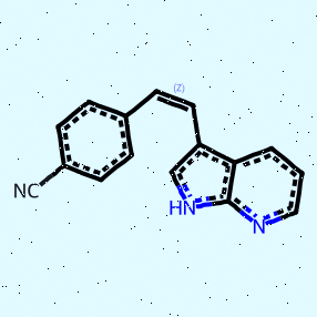 N#Cc1ccc(/C=C\c2c[nH]c3ncccc23)cc1